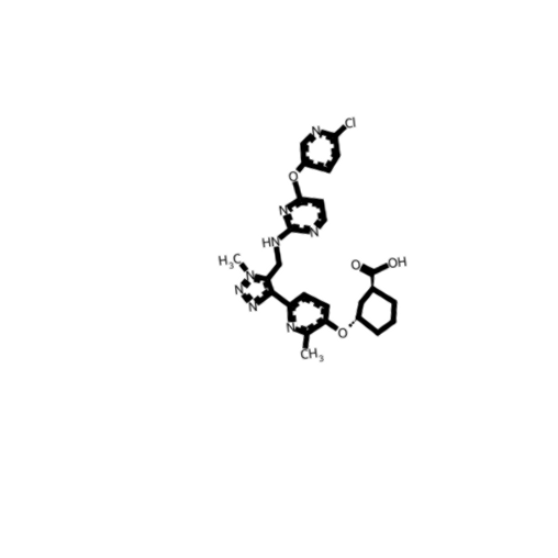 Cc1nc(-c2nnn(C)c2CNc2nccc(Oc3ccc(Cl)nc3)n2)ccc1O[C@H]1CCC[C@H](C(=O)O)C1